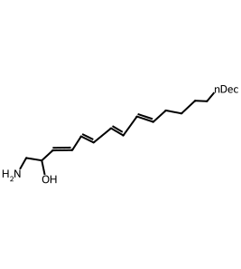 CCCCCCCCCCCCCCC=CC=CC=CC=CC(O)CN